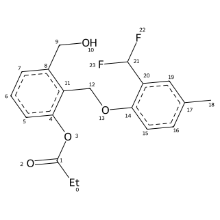 CCC(=O)Oc1cccc(CO)c1COc1ccc(C)cc1C(F)F